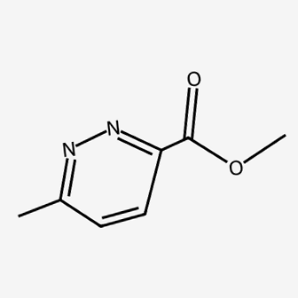 COC(=O)c1ccc(C)nn1